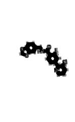 O=C(NCc1ccc2c(c1)OCO2)c1ccc(-c2ncccc2Cl)cc1F